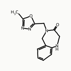 Cc1nnc(CN2Cc3ccccc3NCC2=O)o1